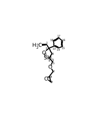 C=CC(CCCOCC1CO1)(O[SiH3])c1ccccc1